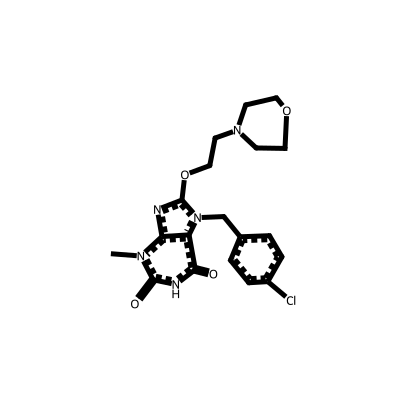 Cn1c(=O)[nH]c(=O)c2c1nc(OCCN1CCOCC1)n2Cc1ccc(Cl)cc1